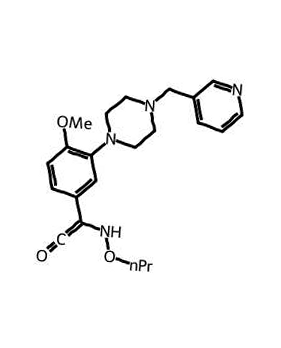 CCCONC(=C=O)c1ccc(OC)c(N2CCN(Cc3cccnc3)CC2)c1